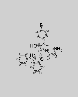 C[C@H](N)C(=O)N1CC(c2ccc(F)cc2)[C@@H](O)[C@H]1C(=O)NC(c1ccccc1)c1ccccc1